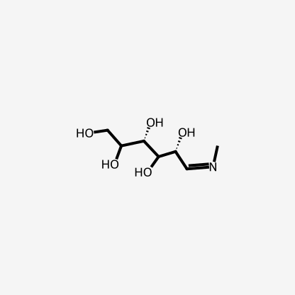 C/N=C\[C@@H](O)C(O)[C@@H](O)C(O)CO